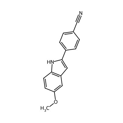 COc1ccc2[nH]c(-c3ccc(C#N)cc3)cc2c1